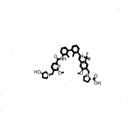 COc1cc(/C=C/c2cccc(-c3cccc(NC(=O)c4ccc(CN5CC[C@@H](O)C5)c(OC)n4)c3C)c2C)c(C(F)(F)F)cc1CN1CCC[C@H]1C(=O)O